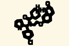 O=C(C1CCNCC1)N(CCOc1ccc2ccc(=O)[nH]c2c1)C(c1ccc(Cl)cc1)c1ccccn1